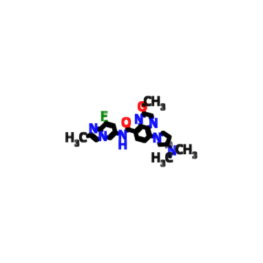 COc1cnc2c(N3CC[C@H](N(C)C)C3)ccc(C(=O)Nc3cc(F)c4nc(C)cn4c3)c2n1